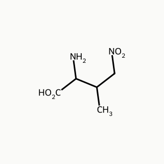 CC(C[N+](=O)[O-])C(N)C(=O)O